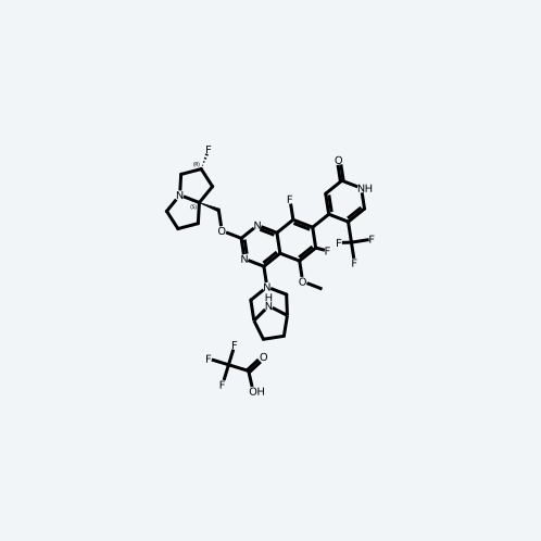 COc1c(F)c(-c2cc(=O)[nH]cc2C(F)(F)F)c(F)c2nc(OC[C@@]34CCCN3C[C@H](F)C4)nc(N3CC4CCC(C3)N4)c12.O=C(O)C(F)(F)F